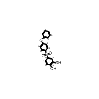 O=S(=O)(c1ccc(Sc2ccccc2)cc1)c1ccc(O)c(O)c1